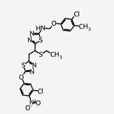 CCSC(Cc1nnc(Oc2ccc([N+](=O)[O-])c(Cl)c2)s1)c1nnc(NCOc2ccc(C)c(Cl)c2)s1